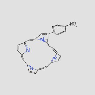 O=[N+]([O-])c1ccc(C2=CC3=CC4=NC(=CC5=NC(=CC6=NC(=CC2=N3)C=C6)C=C5)C=C4)cc1